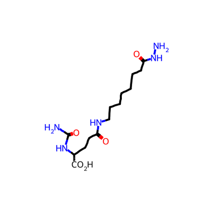 NNC(=O)CCCCCCCNC(=O)CCC(NC(N)=O)C(=O)O